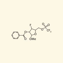 COC1OC(COS(=O)(=O)C(F)(F)F)C(F)C1OC(=O)c1ccccc1